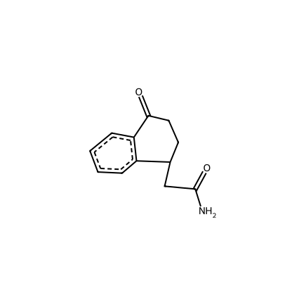 NC(=O)CC1CCC(=O)c2ccccc21